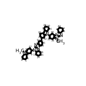 Cn1c2ccccc2c2cc(-n3c4ccccc4n4c5ccc(-c6ccc7c8ccccc8n(-c8ccc9c(c8)n8c%10ccccc%10nc8n9C)c7c6)cc5nc34)ccc21